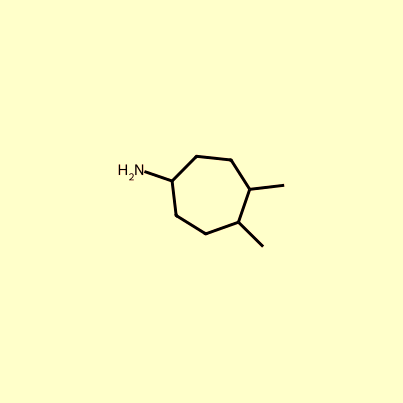 CC1CCC(N)CCC1C